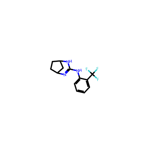 FC(F)(F)c1ccccc1NC1=NC2CCC(C2)N1